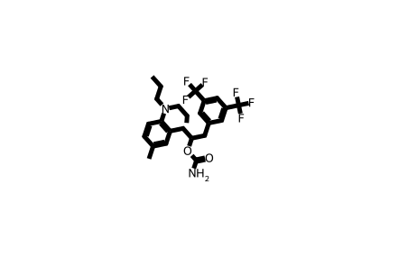 CCCN(CCC)c1ccc(C)cc1CC(Cc1cc(C(F)(F)F)cc(C(F)(F)F)c1)OC(N)=O